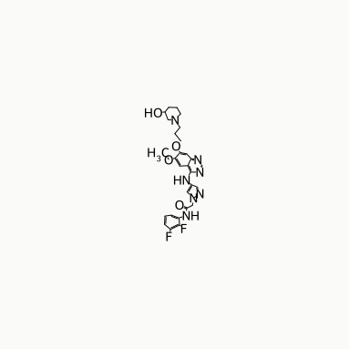 COc1cc2c(Nc3cnn(CC(=O)Nc4cccc(F)c4F)c3)ncnc2cc1OCCCN1CCCC(O)C1